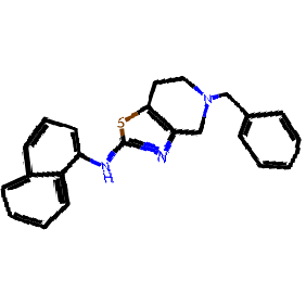 c1ccc(CN2CCc3sc(Nc4cccc5ccccc45)nc3C2)cc1